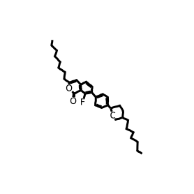 CCCCCCCCc1cc2ccc(-c3ccc(C4CCC(CCCCCCC)CC4)cc3)c(F)c2c(=O)o1